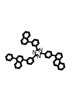 c1ccc(-c2ccc(-c3cccc(-c4nc(-c5ccc(-c6cccc7c6ccc6ccccc67)cc5)nc(-c5cccc(-c6cccc7ccccc67)c5)n4)c3)c3ccccc23)cc1